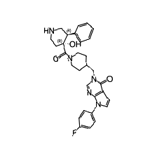 O=C(N1CCC(Cn2cnc3c(ccn3-c3ccc(F)cc3)c2=O)CC1)[C@@]1(O)CCNC[C@H]1c1ccccc1